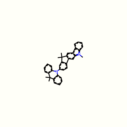 Cn1c2ccccc2c2cc3c(cc21)-c1ccc(N2c4ccccc4C(C)(C)c4ccccc42)cc1C3(C)C